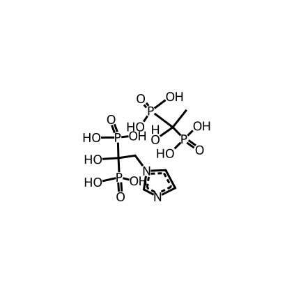 CC(O)(P(=O)(O)O)P(=O)(O)O.O=P(O)(O)C(O)(Cn1ccnc1)P(=O)(O)O